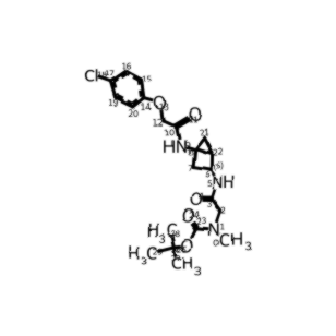 CN(CC(=O)N[C@H]1CC2(NC(=O)COc3ccc(Cl)cc3)CC12)C(=O)OC(C)(C)C